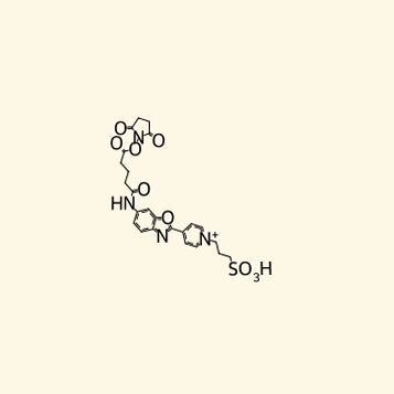 O=C(CCCC(=O)ON1C(=O)CCC1=O)Nc1ccc2nc(-c3cc[n+](CCCS(=O)(=O)O)cc3)oc2c1